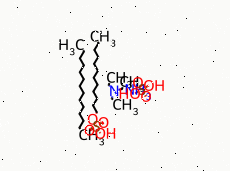 CCCCCCCCCCCCCC.CCCCCCCCCCCCOS(=O)(=O)O.CCN(CC)CC.N.O=S(=O)(O)O